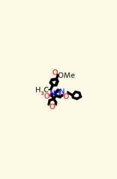 COC(=O)c1ccc([C@H](C)NC(=O)C2(c3ccnc(OCC4CCCCC4)c3)CCOCC2)cc1